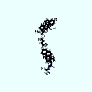 CC[C@H](/C=C/[C@@H](C)[C@H]1CC[C@H]2[C@@H]3CC=C4C[C@@H](OC(=O)CCC(=O)OCC(=O)[C@@]5(O)CC[C@H]6[C@@H]7CCC8=CC(=O)C=C[C@]8(C)[C@H]7[C@@H](O)C[C@@]65C)CC[C@]4(C)[C@H]3CC[C@]12C)C(C)C